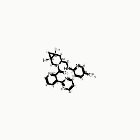 O=C(c1ncccc1-c1ncccn1)N1C[C@@H]2C[C@@H]2CC1CNc1ccc(C(F)(F)F)cn1